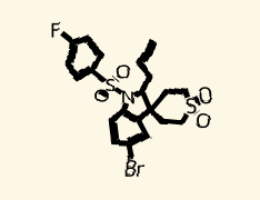 C=CCC1N(S(=O)(=O)c2ccc(F)cc2)c2ccc(Br)cc2C12CCS(=O)(=O)CC2